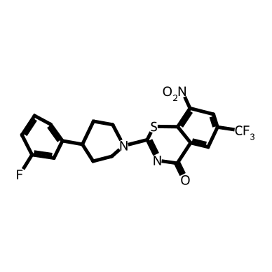 O=c1nc(N2CCC(c3cccc(F)c3)CC2)sc2c([N+](=O)[O-])cc(C(F)(F)F)cc12